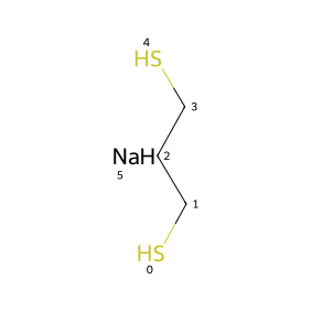 SCCCS.[NaH]